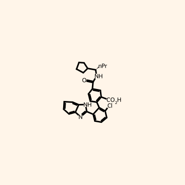 CCC[C@H](NC(=O)c1ccc(-c2c(Cl)cccc2-c2nc3ccccc3[nH]2)c(C(=O)O)c1)C1CCCC1